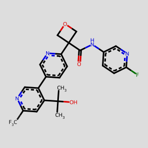 CC(C)(O)c1cc(C(F)(F)F)ncc1-c1ccc(C2(C(=O)Nc3ccc(F)nc3)COC2)nc1